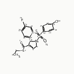 CCSC(=O)C1=CCN(S(=O)(=O)c2ccc(Cl)cc2)[C@H]1c1ccc(F)cc1